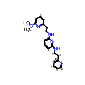 CN(C)c1cccc(CCNc2cccc(NCCc3ccccn3)n2)n1